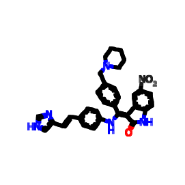 O=C1Nc2ccc([N+](=O)[O-])cc2/C1=C(/Nc1ccc(/C=C/c2c[nH]cn2)cc1)c1ccc(CN2CCCCC2)cc1